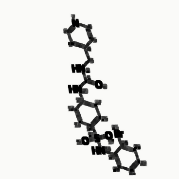 O=C(NCc1ccncc1)Nc1ccc(S(=O)(=O)Nc2ccccc2Br)cc1